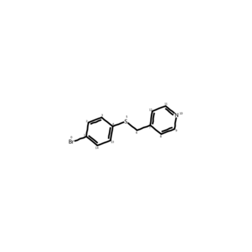 Brc1ccc(SCc2ccncc2)cc1